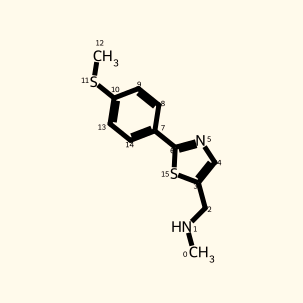 CNCc1cnc(-c2ccc(SC)cc2)s1